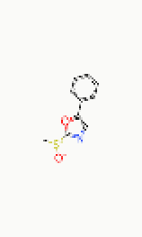 C[S+]([O-])c1ncc(-c2ccccc2)o1